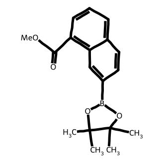 COC(=O)c1cccc2ccc(B3OC(C)(C)C(C)(C)O3)cc12